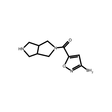 Bc1cc(C(=O)N2CC3CNCC3C2)on1